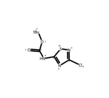 CC(C)(C)OC(=O)Nc1nc(Cl)ns1